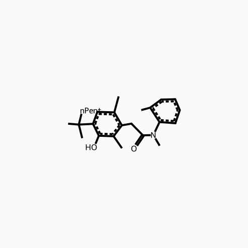 CCCCCC(C)(C)c1cc(C)c(CC(=O)N(C)c2ccccc2C)c(C)c1O